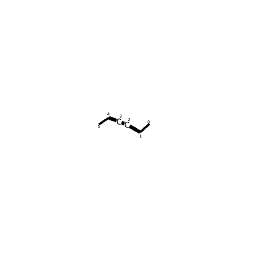 CC=C=C=CC